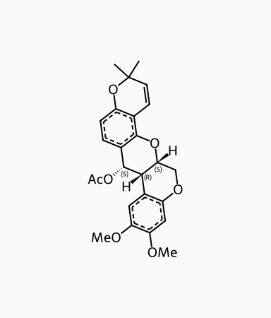 COc1cc2c(cc1OC)[C@@H]1[C@H](OC(C)=O)c3ccc4c(c3O[C@@H]1CO2)C=CC(C)(C)O4